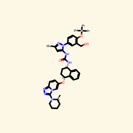 CC(C)[Si](Oc1ccc(-n2nc(C(C)(C)C)cc2NC(=O)N[C@H]2CC[C@@H](Oc3ccc4nnc(N5CCCC[C@@H]5C)n4c3)c3ccccc32)cc1CO)(C(C)C)C(C)C